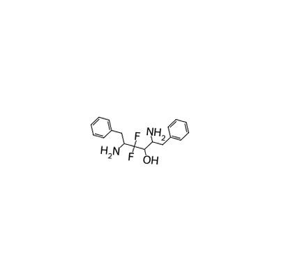 NC(Cc1ccccc1)C(O)C(F)(F)C(N)Cc1ccccc1